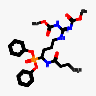 CC(C)(C)OC(=O)/N=C(/NCCCC(NC(=O)CCC(=O)O)P(=O)(Oc1ccccc1)Oc1ccccc1)NC(=O)OC(C)(C)C